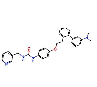 CN(C)c1cccc(-c2ccccc2CCOc2ccc(NC(=O)NCc3cccnc3)cc2)c1